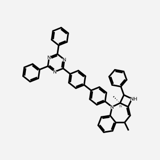 CC1C=C2NC(c3ccccc3)[C@]2(C)N(c2ccc(-c3ccc(-c4nc(-c5ccccc5)nc(-c5ccccc5)n4)cc3)cc2)c2ccccc21